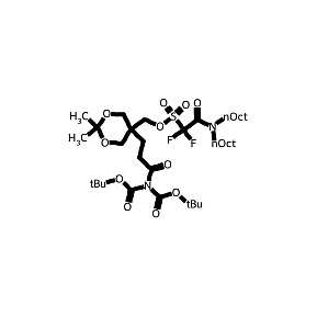 CCCCCCCCN(CCCCCCCC)C(=O)C(F)(F)S(=O)(=O)OCC1(CCC(=O)N(C(=O)OC(C)(C)C)C(=O)OC(C)(C)C)COC(C)(C)OC1